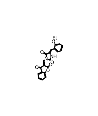 CCOc1ccccc1C=C1NC(=O)N(C=C2C(=O)Oc3ccccc3C2=O)C1=O